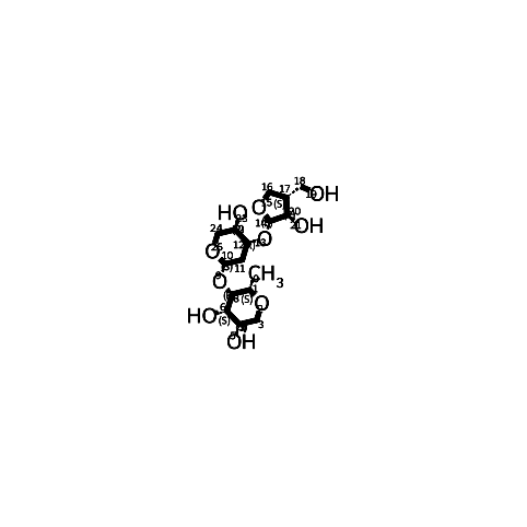 C[C@@H]1OC[C@H](O)[C@H](O)[C@H]1O[C@H]1C[C@@H](O[C@@H]2OC[C@H](CO)[C@H]2O)[C@H](O)CO1